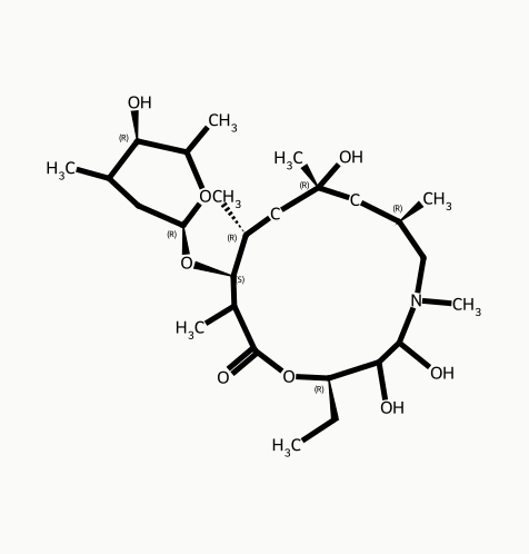 CC[C@H]1OC(=O)C(C)[C@@H](O[C@H]2CC(C)[C@@H](O)C(C)O2)[C@H](C)C[C@](C)(O)C[C@@H](C)CN(C)C(O)C1O